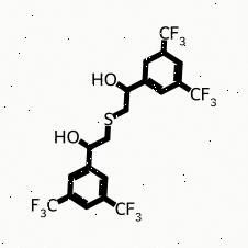 OC(CSCC(O)c1cc(C(F)(F)F)cc(C(F)(F)F)c1)C1=CC(C(F)(F)F)=CC(C(F)(F)F)C1